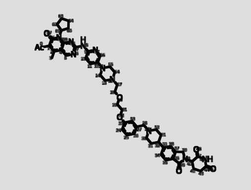 CC(=O)c1c(C)c2cnc(Nc3ccc(N4CCN(CCOCCOc5cccc(CN6CCC(c7ccc8c(c7)CN(C7CCC(=O)NC7=O)C8=O)CC6)c5)CC4)cn3)nc2n(C2CCCC2)c1=O